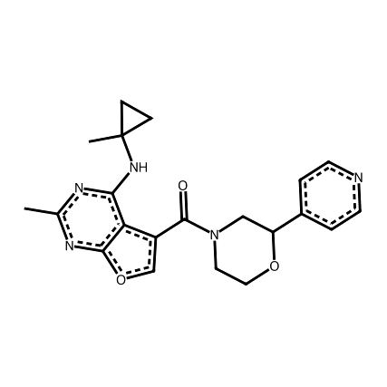 Cc1nc(NC2(C)CC2)c2c(C(=O)N3CCOC(c4ccncc4)C3)coc2n1